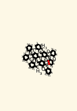 Cc1cccc(C)c1N1c2cc3c(cc2B2c4c1cc(N(c1ccccc1)c1ccccc1)cc4N(c1c(C)cccc1C)c1cc4c5c(c12)Oc1ccccc1B5c1ccccc1O4)B1c2ccccc2Oc2cccc(c21)O3